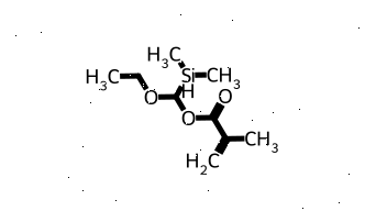 C=C(C)C(=O)OC(OCC)[SiH](C)C